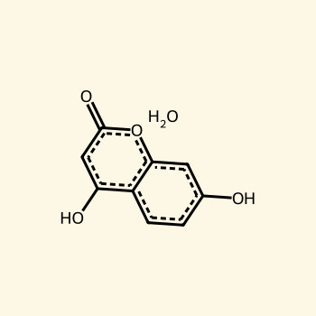 O.O=c1cc(O)c2ccc(O)cc2o1